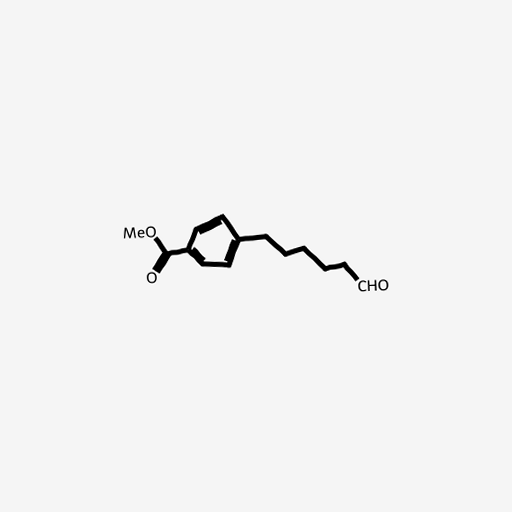 COC(=O)c1ccc(CCCCCC=O)cc1